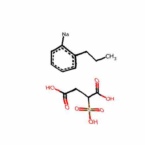 CCCc1cccc[c]1[Na].O=C(O)CC(C(=O)O)S(=O)(=O)O